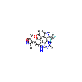 COc1cc2c(cc1-c1c(C)noc1C)[nH]c1nc(C)nc(C3C(C(F)(F)F)=Nc4ccccc43)c12